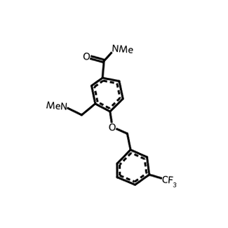 CNCc1cc(C(=O)NC)ccc1OCc1cccc(C(F)(F)F)c1